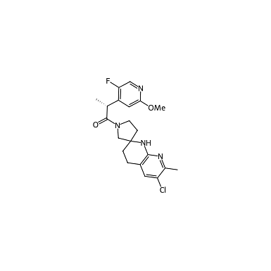 COc1cc([C@@H](C)C(=O)N2CCC3(CCc4cc(Cl)c(C)nc4N3)C2)c(F)cn1